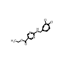 CCOC(=O)c1cnc(NCc2ccc(Cl)c(Cl)c2)nc1